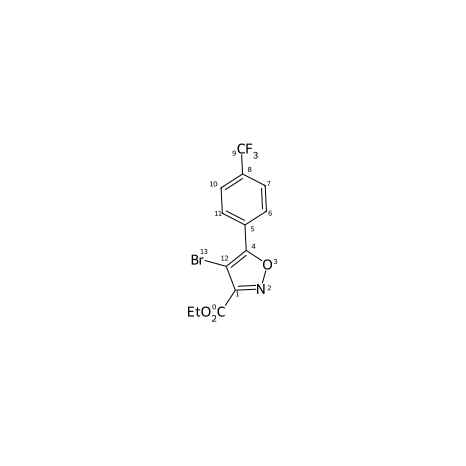 CCOC(=O)c1noc(-c2ccc(C(F)(F)F)cc2)c1Br